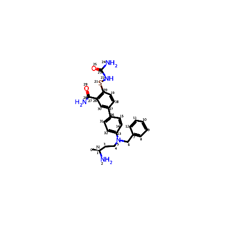 C[C@H](N)CCN(Cc1ccccc1)c1ccc(-c2ccc(SNC(N)=O)c(C(N)=O)c2)cc1